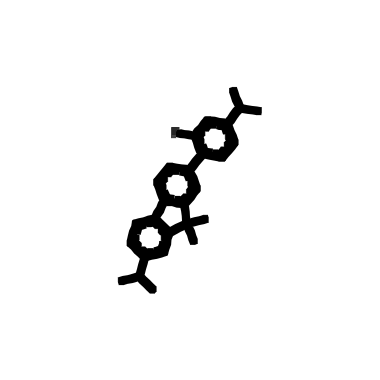 CC(C)c1ccc(-c2ccc3c(c2)C(C)(C)c2cc(C(C)C)ccc2-3)c(F)c1